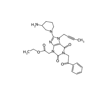 CC#CCn1c(N2CCCC(N)C2)nc2c1c(=O)n(CC(=O)c1ccccc1)c(=O)n2CC(=O)OCC